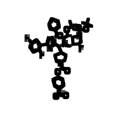 CC(=O)O[C@@H](C)C(=O)N(C[C@@H]1CN(C(=O)OC(C)(C)C)C[C@@H]1F)[C@@H](c1nc(-c2cc(F)ccc2F)cn1Cc1ccccc1)C1CCN(C(=O)Oc2ccc([N+](=O)[O-])cc2)CC1